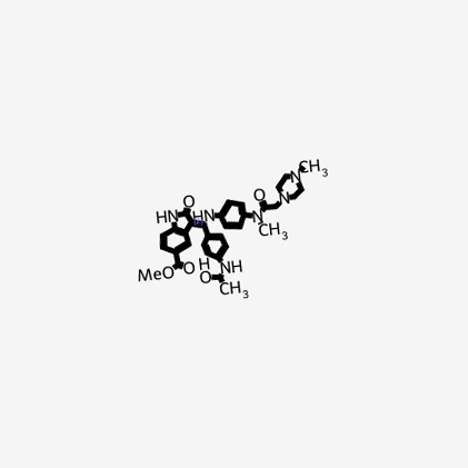 COC(=O)c1ccc2c(c1)/C(=C(/Nc1ccc(N(C)C(=O)CN3CCN(C)CC3)cc1)c1ccc(NC(C)O)cc1)C(=O)N2